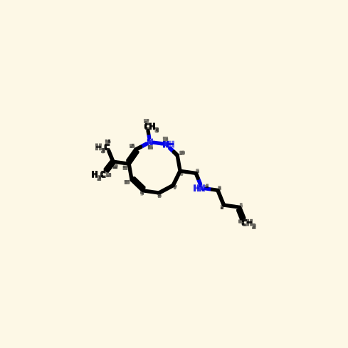 C=CCCNCC1CC/C=C\C(C(=C)C)=C/N(C)NC1